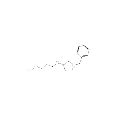 CC(C)OCCCN(C)C1CCN(Cc2ccccc2)C1